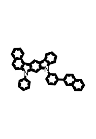 c1ccc(-n2c3cc4c(cc3c3c5ccccc5ccc32)c2ccccc2n4-c2cccc(-c3ccc4ccccc4c3)c2)cc1